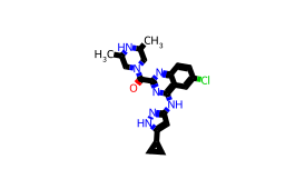 CC1CN(C(=O)c2nc(Nc3cc(C4CC4)[nH]n3)c3cc(Cl)ccc3n2)CC(C)N1